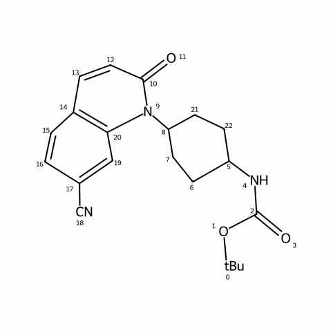 CC(C)(C)OC(=O)NC1CCC(n2c(=O)ccc3ccc(C#N)cc32)CC1